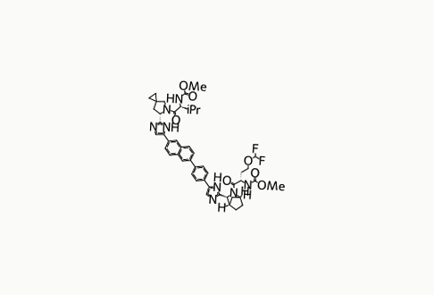 COC(=O)N[C@@H](CCOC(F)F)C(=O)N1[C@@H]2CC[C@@H](C2)[C@H]1c1ncc(-c2ccc(-c3ccc4cc(-c5cnc([C@@H]6CC7(CC7)CN6C(=O)[C@@H](NC(=O)OC)C(C)C)[nH]5)ccc4c3)cc2)[nH]1